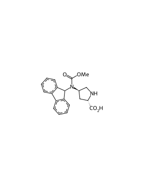 COC(=O)N(C1c2ccccc2-c2ccccc21)[C@H]1CN[C@H](C(=O)O)C1